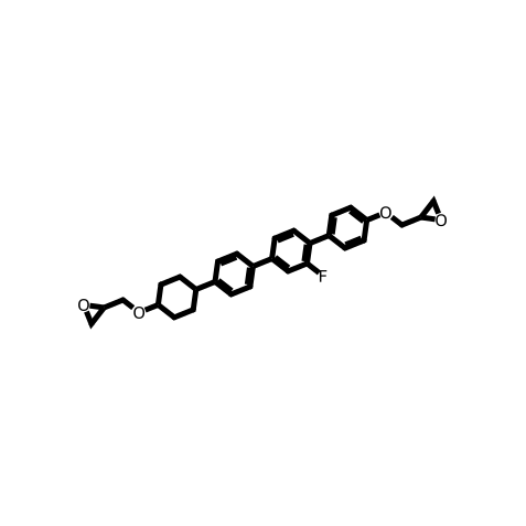 Fc1cc(-c2ccc(C3CCC(OCC4CO4)CC3)cc2)ccc1-c1ccc(OCC2CO2)cc1